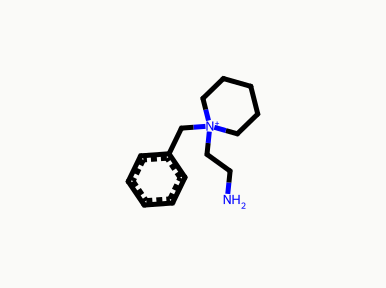 NCC[N+]1(Cc2ccccc2)CCCCC1